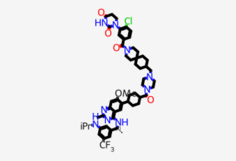 COc1cc2nc(C)nc(N[C@H](C)c3cc(NC(C)C)cc(C(F)(F)F)c3)c2cc1C1CCC(C(=O)N2CCN(CC3CCC4(CC3)CCN(C(=O)c3ccc(Cl)c(N5CCC(=O)NC5=O)c3)CC4)CC2)CC1